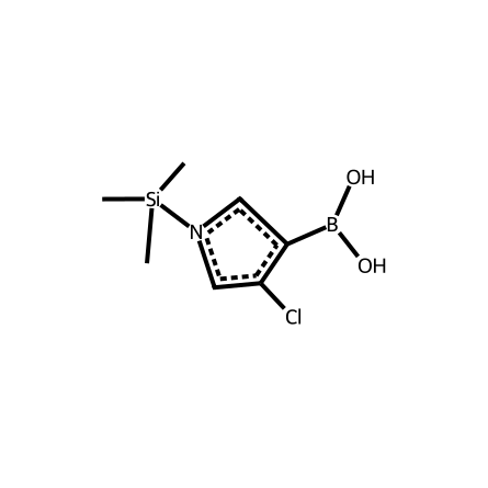 C[Si](C)(C)n1cc(Cl)c(B(O)O)c1